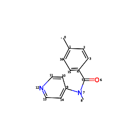 [CH2]c1ccc(C(=O)N(C)c2ccncc2)cc1